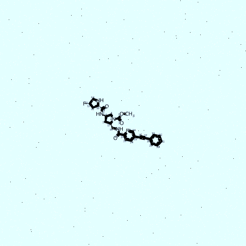 COC(=O)N1C[C@H](NC(=O)[C@@H]2C[C@H](F)CN2)C[C@@H]1CNC(=O)c1ccc(C#Cc2ccccc2)cn1